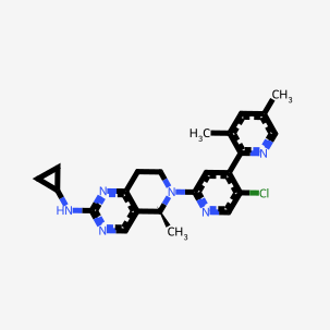 Cc1cnc(-c2cc(N3CCc4nc(NC5CC5)ncc4[C@@H]3C)ncc2Cl)c(C)c1